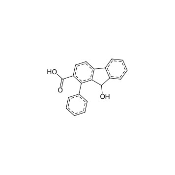 O=C(O)c1ccc2c(c1-c1ccccc1)C(O)c1ccccc1-2